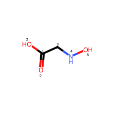 O=C(O)[C]NO